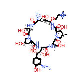 C[C@@H](O)[C@@H]1NC(=O)[C@H]([C@H](O)[C@@H](O)c2ccc(O)c(N)c2)NC(=O)[C@@H]2C[C@@H](O)CN2C(=O)[C@H]([C@@H](C)O)NC(=O)C(N)C[C@@H](O)[C@@H](OCC[N+](C)(C)C)NC(=O)[C@@H]2[C@@H](O)[C@@H](C)CN2C1=O